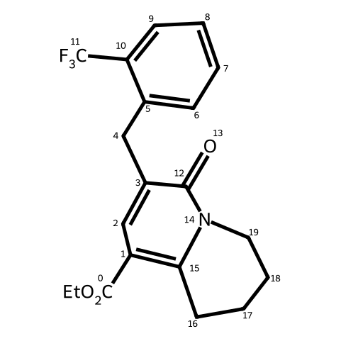 CCOC(=O)c1cc(Cc2ccccc2C(F)(F)F)c(=O)n2c1CCCC2